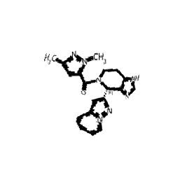 Cc1cc(C(=O)N2CCc3[nH]cnc3[C@@H]2c2cc3ccccn3n2)n(C)n1